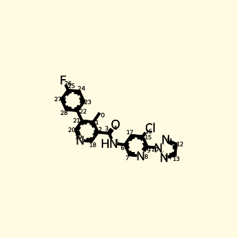 Cc1c(C(=O)Nc2cnc(-n3nccn3)c(Cl)c2)cncc1-c1ccc(F)cc1